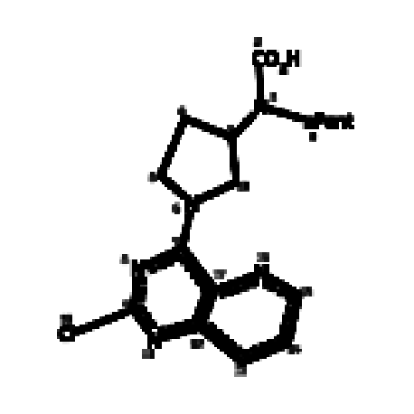 CCCCCN(C(=O)O)C1CCN(c2nc(Cl)nc3cccnc23)C1